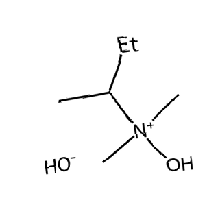 CCC(C)[N+](C)(C)O.[OH-]